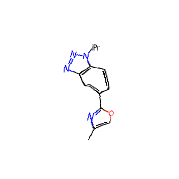 Cc1coc(-c2ccc3c(c2)nnn3C(C)C)n1